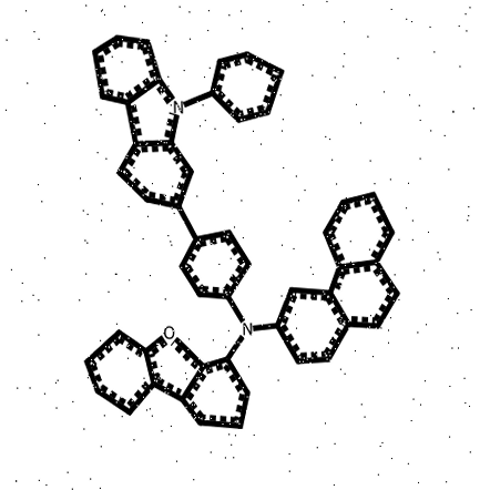 c1ccc(-n2c3ccccc3c3ccc(-c4ccc(N(c5ccc6ccc7ccccc7c6c5)c5cccc6c5oc5ccccc56)cc4)cc32)cc1